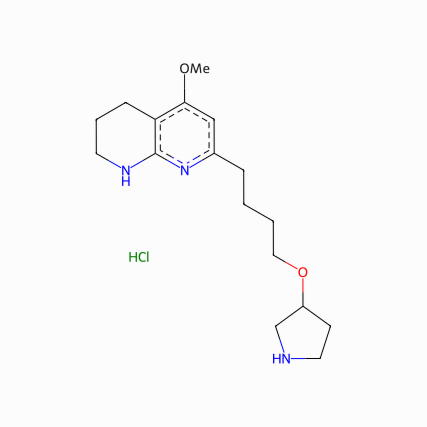 COc1cc(CCCCOC2CCNC2)nc2c1CCCN2.Cl